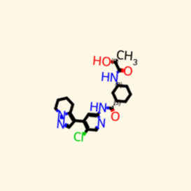 C[C@H](O)C(=O)N[C@@H]1CCC[C@H](C(=O)Nc2cc(-c3cnn4c3CCCC4)c(Cl)cn2)C1